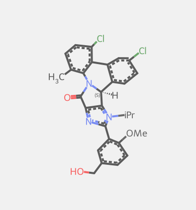 COc1ccc(CO)cc1-c1nc2c(n1C(C)C)[C@@H]1c3ccc(Cl)cc3-c3c(Cl)ccc(C)c3N1C2=O